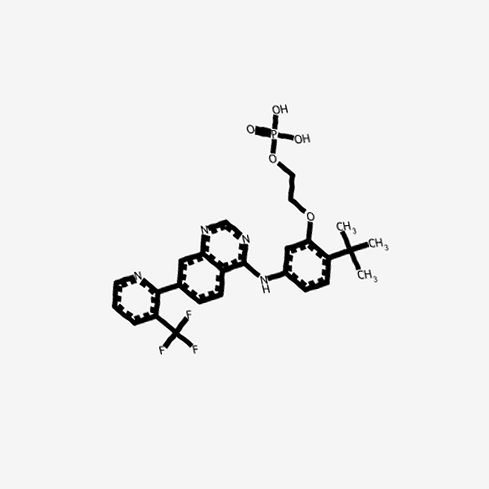 CC(C)(C)c1ccc(Nc2ncnc3cc(-c4ncccc4C(F)(F)F)ccc23)cc1OCCOP(=O)(O)O